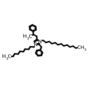 CCCCCCCCCCCCC[n+]1c(CC(C)c2ccccc2)cn(CCCCCCCCCC)c1Cc1ccccc1